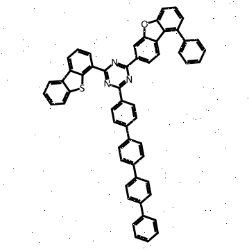 c1ccc(-c2ccc(-c3ccc(-c4ccc(-c5nc(-c6ccc7c(c6)oc6cccc(-c8ccccc8)c67)nc(-c6cccc7c6sc6ccccc67)n5)cc4)cc3)cc2)cc1